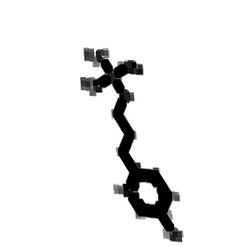 CC(C)(C)[Si](C)(C)OCCCc1ccc(Br)cn1